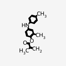 C=C(C)C(=O)Oc1ccc(Nc2ccc(C)cc2)cc1C